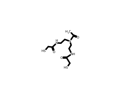 CC(=O)N(CCNC(=O)CS)CCNC(=O)CS